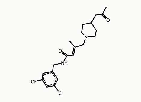 CC(=O)CC1CCN(C/C(C)=C/C(=O)NCc2cc(Cl)cc(Cl)c2)CC1